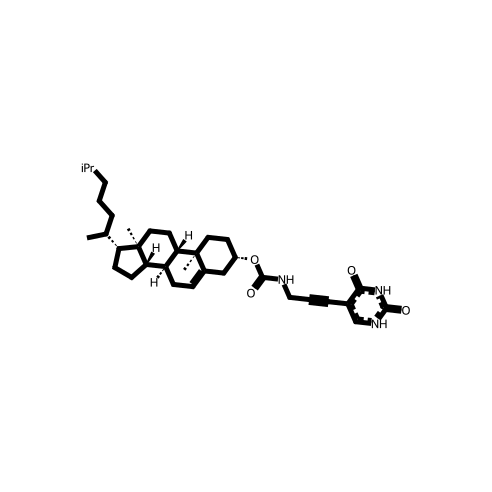 CC(C)CCCC(C)[C@H]1CC[C@H]2[C@@H]3CC=C4C[C@@H](OC(=O)NCC#Cc5c[nH]c(=O)[nH]c5=O)CC[C@]4(C)[C@H]3CC[C@]12C